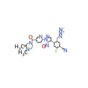 C[C@@H]1CN(C(=O)c2ccc(-n3ncc(-c4cc(F)c(C#N)cc4CN=[N+]=[N-])c3N=O)nc2)CCN1C